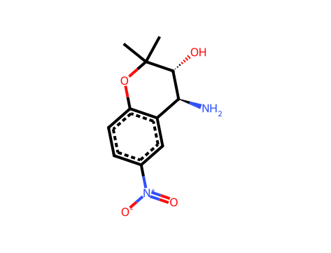 CC1(C)Oc2ccc([N+](=O)[O-])cc2[C@H](N)[C@H]1O